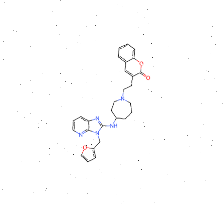 O=c1oc2ccccc2cc1CCN1CCCC(Nc2nc3cccnc3n2Cc2ccco2)CC1